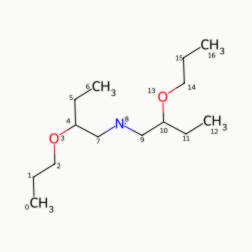 CCCOC(CC)C[N]CC(CC)OCCC